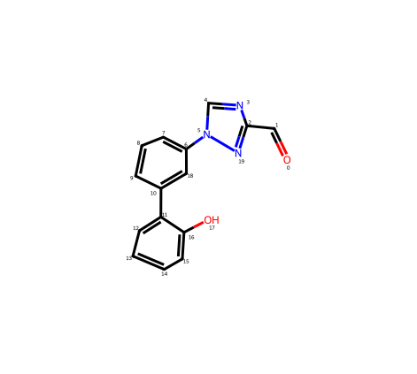 O=Cc1ncn(-c2cccc(-c3ccccc3O)c2)n1